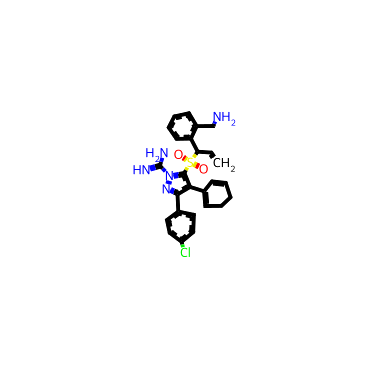 C=CC(c1ccccc1CN)S(=O)(=O)c1c(C2=CCCC=C2)c(-c2ccc(Cl)cc2)nn1C(=N)N